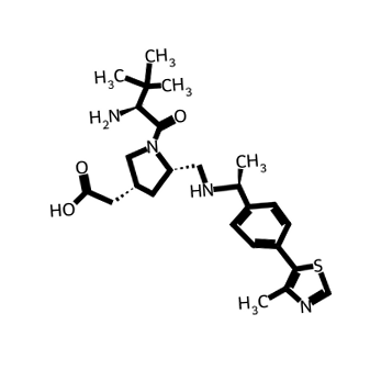 Cc1ncsc1-c1ccc([C@H](C)NC[C@@H]2C[C@H](CC(=O)O)CN2C(=O)[C@@H](N)C(C)(C)C)cc1